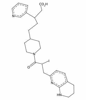 O=C(O)CC(CCC1CCN(C(=O)C(I)Cc2ccc3c(n2)NCCC3)CC1)c1cccnc1